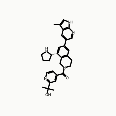 Cc1c[nH]c2ncc(-c3cc4c(c([C@@H]5CCCN5)c3)CN(C(=O)c3ccnc(C(C)(C)O)c3)CC4)cc12